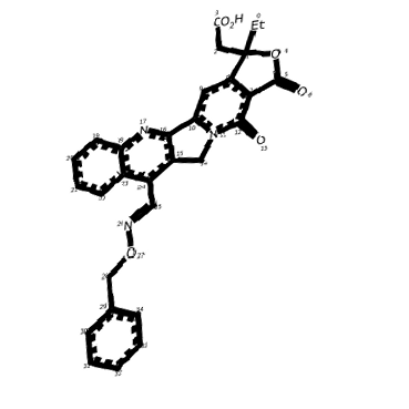 CCC1(CC(=O)O)OC(=O)c2c1cc1n(c2=O)Cc2c-1nc1ccccc1c2C=NOCc1ccccc1